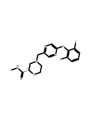 CNC(=O)[C@@H]1CN(Cc2cnc(Oc3c(F)cccc3F)cn2)CCO1